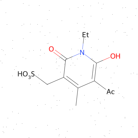 CCn1c(O)c(C(C)=O)c(C)c(CS(=O)(=O)O)c1=O